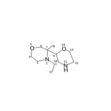 CCN1CCOCC1(C)C1CNCCO1